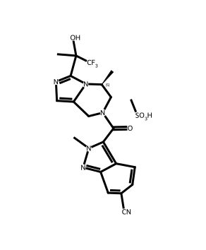 CS(=O)(=O)O.C[C@H]1CN(C(=O)c2c3ccc(C#N)cc3nn2C)Cc2cnc(C(C)(O)C(F)(F)F)n21